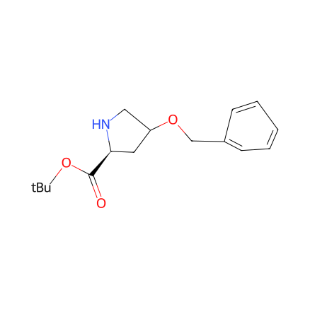 CC(C)(C)OC(=O)[C@@H]1CC(OCc2ccccc2)CN1